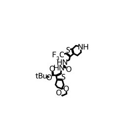 CC(C)(C)OC(=O)c1c(NC(=O)NCc2c(C(F)(F)F)sc3c2CCNC3)sc2c1CCC1(C2)OCCO1